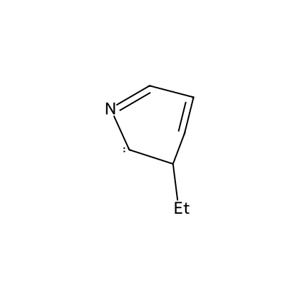 CCC1[C]N=CC=C1